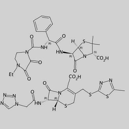 CCN1CCN(C(=O)N[C@@H](C(=O)N[C@@H]2C(=O)N3[C@@H]2SC(C)(C)[C@@H]3C(=O)O)c2ccccc2)C(=O)C1=O.Cc1nnc(SCC2=C(C(=O)O)N3C(=O)[C@@H](NC(=O)Cn4cnnn4)[C@H]3SC2)s1